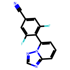 N#Cc1cc(F)c(-c2cccc3ncnn23)c(F)c1